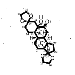 C[C@]12CC[C@H]3[C@@H](CC(=O)[C@@]4(O)CC5(CC[C@]34C)OCCO5)[C@@H]1CCC21OCCO1